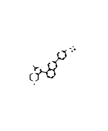 CCc1nc(-c2cccc3cc(-c4ccc(OS(=O)(=O)C(F)(F)F)nc4)ncc23)c2n1CCN(C(C)=O)C2